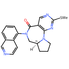 CSc1ncc2c(n1)N1CCC[C@H]1CN(c1cccc3cnccc13)C2=O